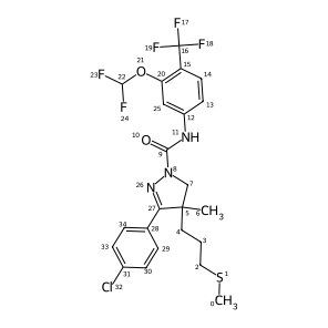 CSCCCC1(C)CN(C(=O)Nc2ccc(C(F)(F)F)c(OC(F)F)c2)N=C1c1ccc(Cl)cc1